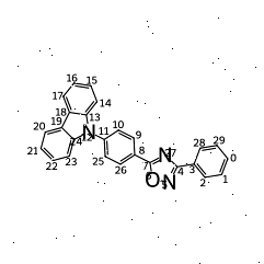 c1ccc(-c2noc(-c3ccc(-n4c5ccccc5c5ccccc54)cc3)n2)cc1